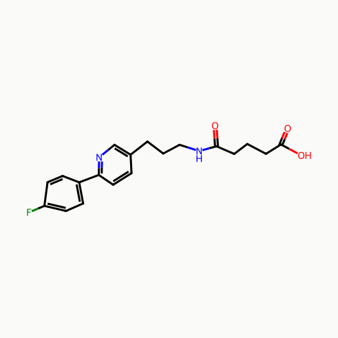 O=C(O)CCCC(=O)NCCCc1ccc(-c2ccc(F)cc2)nc1